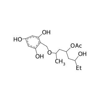 CCC(O)CC(CC(C)OCc1c(O)cc(O)cc1O)OC(C)=O